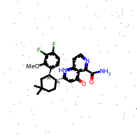 COc1c([C@@H]2CC(C)(C)CC[C@H]2c2cc(=O)c3c(C(N)=O)nccc3[nH]2)ccc(F)c1F